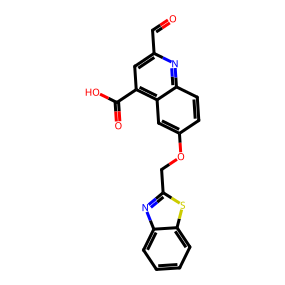 O=Cc1cc(C(=O)O)c2cc(OCc3nc4ccccc4s3)ccc2n1